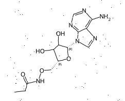 CCC(=O)NOC[C@H]1O[C@@H](n2cnc3c(N)ncnc32)C(O)C1O